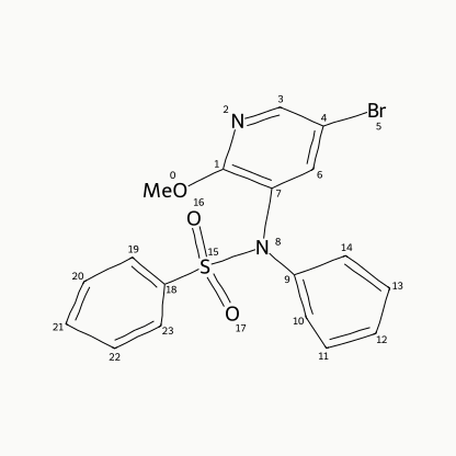 COc1ncc(Br)cc1N(c1ccccc1)S(=O)(=O)c1ccccc1